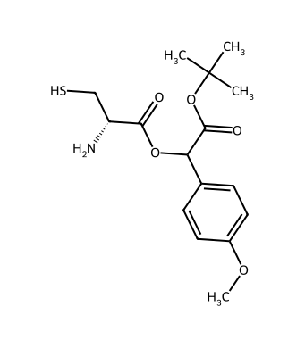 COc1ccc(C(OC(=O)[C@H](N)CS)C(=O)OC(C)(C)C)cc1